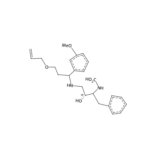 C=CCOCCC(NC[C@@H](O)C(Cc1ccccc1)NC(=O)O)c1cccc(OC)c1